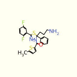 Cc1ccc(C(=O)N2N=C(c3cc(F)ccc3F)SC2(CCCN)c2ccccc2)s1